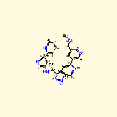 CCNCc1cncc(-c2cc3c(-c4nc5c(-c6ccccn6)cncc5[nH]4)n[nH]c3cn2)c1